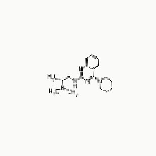 CC(CNc1nc(N2CCCCC2)c2ccccc2n1)N(C)C